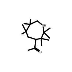 CC(=O)C1CC(C)(C)C(C)(C)CNC(C)(C)C1(C)C